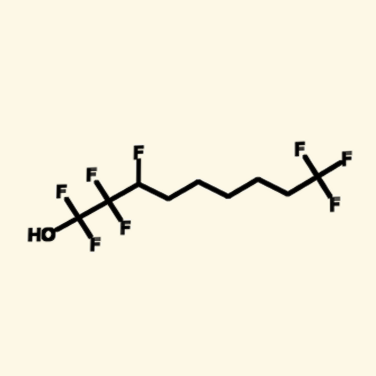 OC(F)(F)C(F)(F)C(F)CCCCCC(F)(F)F